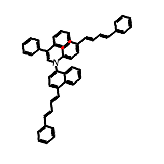 C(C=Cc1ccc(N(C=C(c2ccccc2)c2ccccc2)c2ccc(C=CC=Cc3ccccc3)c3ccccc23)cc1)=Cc1ccccc1